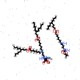 CCCCCC(CCCCC)CCCOC(=O)CCCCCCCN(CCCCCCCC(=O)OCCCC(CCCCC)CCCCC)CCCNc1c(NC)c(=O)c1=O.CCCCCC(CCCCC)CCCOC(=O)CCCCCCCNCCCNC(=O)OC(C)(C)C